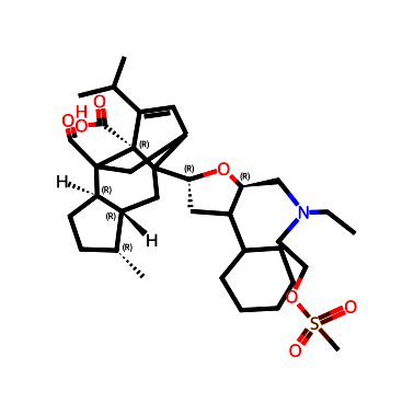 CCN(CCOS(C)(=O)=O)C[C@@H]1O[C@@H](C23C[C@@H]4[C@H](C)CC[C@H]4C4(C=O)CC2C=C(C(C)C)[C@]43C(=O)O)CC1C1CCCCC1